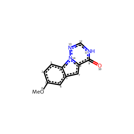 COc1ccc2c(c1)cc1c(=O)[nH]cnn12